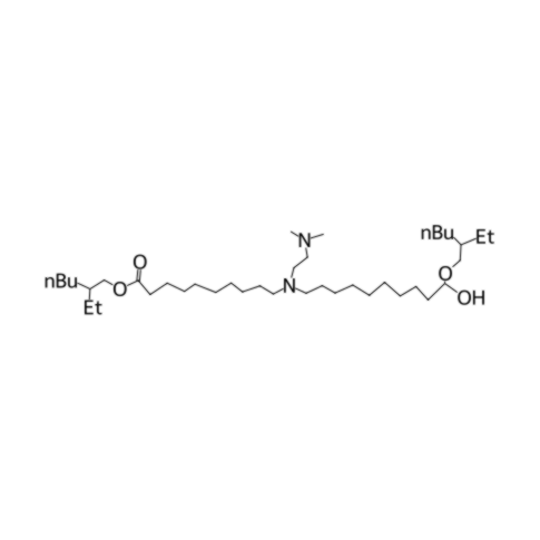 CCCCC(CC)COC(=O)CCCCCCCCCN(CCCCCCCCCC(O)OCC(CC)CCCC)CCN(C)C